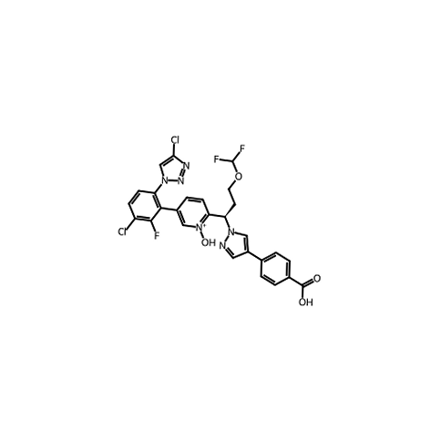 O=C(O)c1ccc(-c2cnn([C@H](CCOC(F)F)c3ccc(-c4c(-n5cc(Cl)nn5)ccc(Cl)c4F)c[n+]3O)c2)cc1